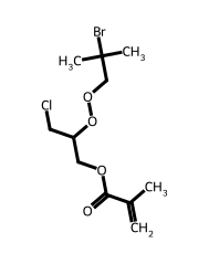 C=C(C)C(=O)OCC(CCl)OOCC(C)(C)Br